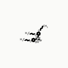 CCCCCOc1ccc(-c2nc(Br)nc(-c3ccc(OCCCCC)cc3OCCCCC)n2)c(O)c1